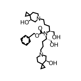 O=C(OCc1ccccc1)N([C@H](CO)CCCN1CCC2(CC2)[C@H](O)C1)[C@H](CO)CCCN1CCC2(CC2)[C@H](O)C1